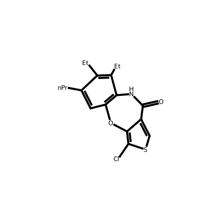 CCCc1cc2c(c(CC)c1CC)NC(=O)c1csc(Cl)c1O2